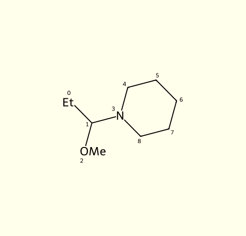 CCC(OC)N1CCCCC1